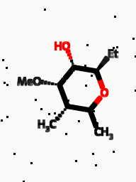 CC[C@H]1OC(C)[C@H](C)[C@H](OC)[C@@H]1O